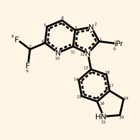 CC(C)c1nc2ccc(C(F)F)nc2n1-c1ccc2c(c1)CCN2